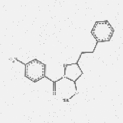 CC(C)(C)OC1CC(CCc2ccccc2)NN1C(=O)c1ccc([N+](=O)[O-])cc1